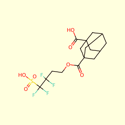 O=C(O)C12CC3CC(C1)CC(C(=O)OCCC(F)(F)C(F)(F)S(=O)(=O)O)(C3)C2